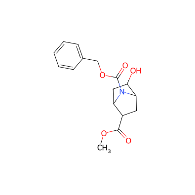 COC(=O)C1CC2C(O)CC1N2C(=O)OCc1ccccc1